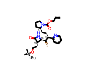 C=CCOC(=O)N1CCC[C@@H]1CC[C@@H](C(=S)[C@@H]1NC(=O)[C@H]1CCO[Si](C)(C)C(C)(C)C)c1ccccn1